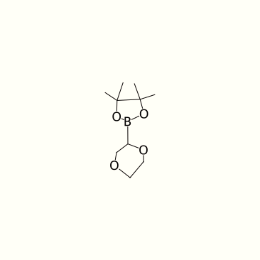 CC1(C)OB(C2COCCO2)OC1(C)C